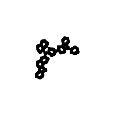 c1ccc(-n2c3ccccc3c3cc(-c4ccc(N(c5ccc6c(ccc7c8ccccc8oc67)c5)c5cccc6ccccc56)cc4)ccc32)cc1